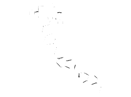 C=C(CO)C(=O)OCC(COC(=O)C(C)C)CC1CCC(CCc2ccc3cc(-c4ccc5cc(CCC)ccc5c4)ccc3c2)CC1